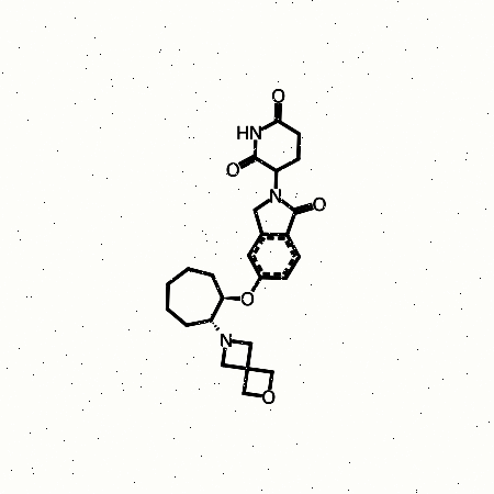 O=C1CCC(N2Cc3cc(O[C@@H]4CCCCC[C@H]4N4CC5(COC5)C4)ccc3C2=O)C(=O)N1